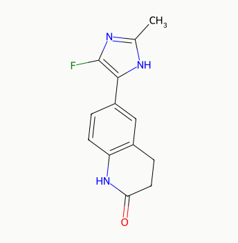 Cc1nc(F)c(-c2ccc3c(c2)CCC(=O)N3)[nH]1